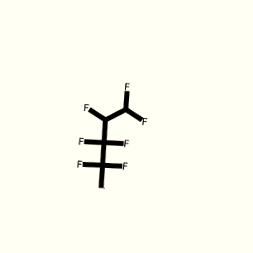 [CH2]C(F)(F)C(F)(F)C(F)C(F)F